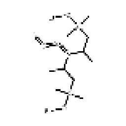 CCO[Si](C)(C)CC(C)S(=S=S=S)C(C)C[Si](C)(C)OCC